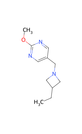 CCC1CN(Cc2cnc(OC)nc2)C1